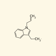 [CH2]Cc1cn(CC=C)c2ccccc12